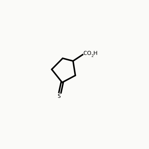 O=C(O)C1CCC(=S)C1